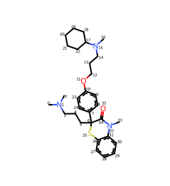 CN(C)CCCC1(c2ccc(OCCCN(C)C3CCCCC3)cc2)Sc2ccccc2N(C)C1=O